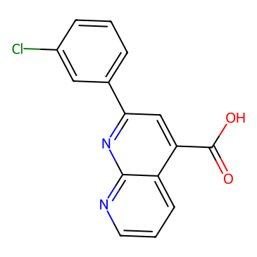 O=C(O)c1cc(-c2cccc(Cl)c2)nc2ncccc12